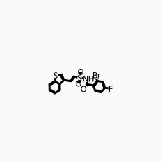 O=C(NS(=O)(=O)/C=C/c1csc2ccccc12)c1ccc(F)cc1Br